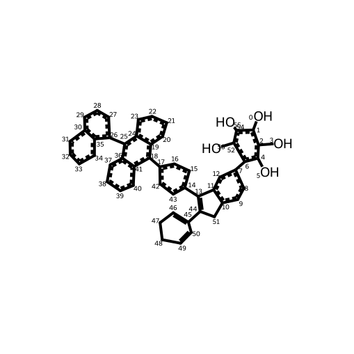 Oc1c(O)c(O)c(-c2ccc3c(c2)C(c2ccc(-c4c5ccccc5c(-c5cccc6ccccc56)c5ccccc45)cc2)=C(C2=CCCC=C2)C3)c(O)c1O